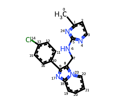 Cc1ccnc(NCc2c(-c3ccc(Cl)cc3)nc3ccccn23)n1